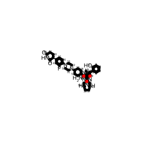 Nc1nnc(-c2ccccc2O)cc1N1C[C@H]2CC[C@@H](C1)N2c1nccc(C2CCC(N3CCN(c4ccc([C@@H]5CCC(=O)NC5=O)cc4F)CC3)CC2)n1